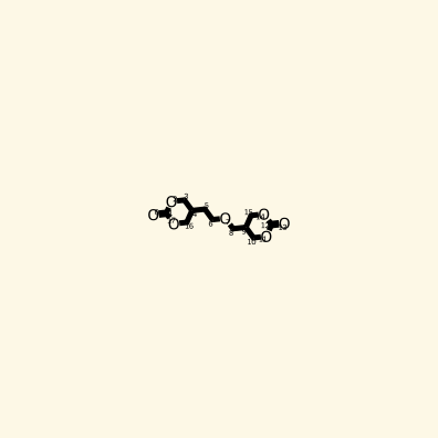 O=C1OCC(CCOCC2COC(=O)OC2)CO1